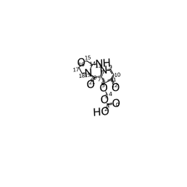 O=C(O)OCOc1c2n(ccc1=O)NC1COCCN1C2=O